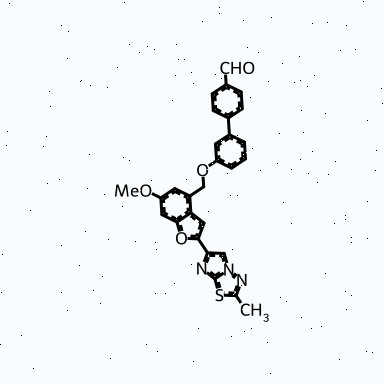 COc1cc(COc2cccc(-c3ccc(C=O)cc3)c2)c2cc(-c3cn4nc(C)sc4n3)oc2c1